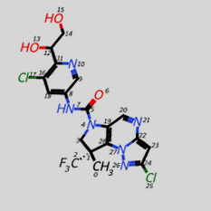 C[C@@]1(C(F)(F)F)CN(C(=O)Nc2cnc(C(O)CO)c(Cl)c2)c2cnc3cc(Cl)nn3c21